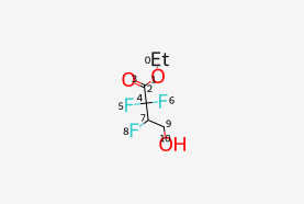 CCOC(=O)C(F)(F)C(F)CO